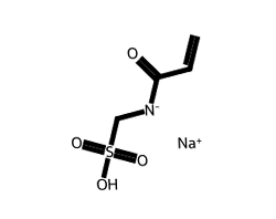 C=CC(=O)[N-]CS(=O)(=O)O.[Na+]